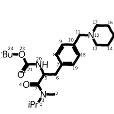 CC(C)N(C)C(=O)C(Cc1ccc(CN2CCCCC2)cc1)NC(=O)OC(C)(C)C